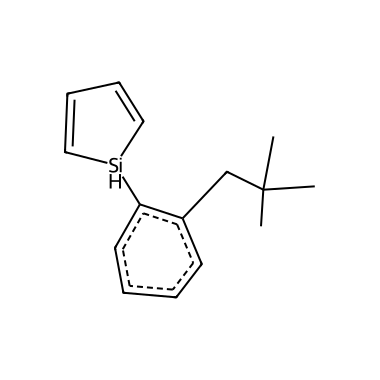 CC(C)(C)Cc1ccccc1[SiH]1C=CC=C1